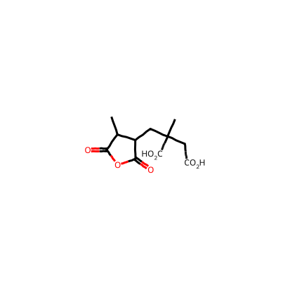 CC1C(=O)OC(=O)C1CC(C)(CC(=O)O)C(=O)O